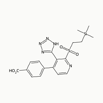 C[Si](C)(C)CCS(=O)(=O)c1nccc(-c2ccc(C(=O)O)cc2)c1-c1nnn[nH]1